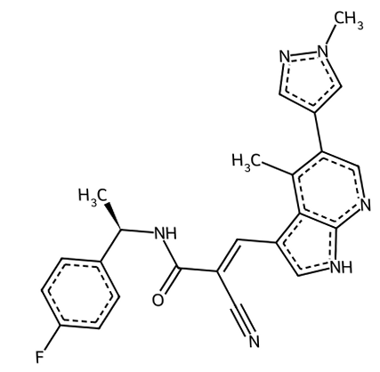 Cc1c(-c2cnn(C)c2)cnc2[nH]cc(/C=C(\C#N)C(=O)N[C@H](C)c3ccc(F)cc3)c12